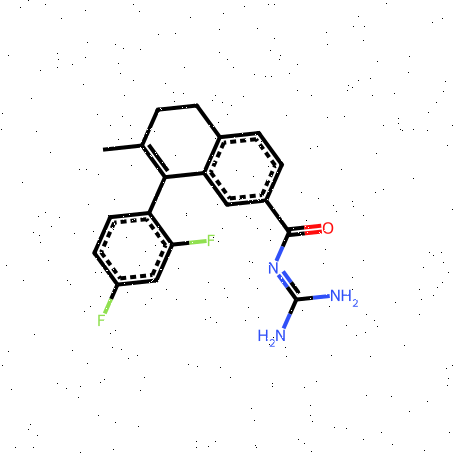 CC1=C(c2ccc(F)cc2F)c2cc(C(=O)N=C(N)N)ccc2CC1